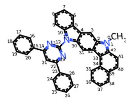 Cn1c2cc3c4ccccc4n(-c4nc(-c5ccccc5)cc(-c5ccccc5)n4)c3cc2c2c3ccccc3ccc21